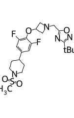 CC(C)(C)c1noc(CN2CC(Oc3c(F)cc(C4CCN(S(C)(=O)=O)CC4)cc3F)C2)n1